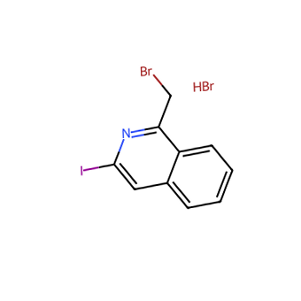 Br.BrCc1nc(I)cc2ccccc12